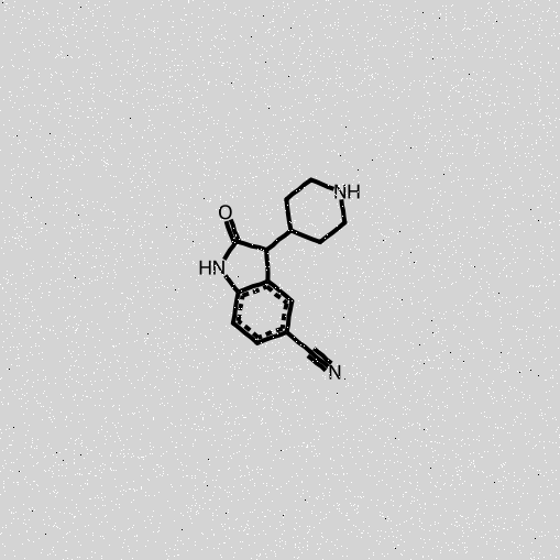 N#Cc1ccc2c(c1)C(C1CCNCC1)C(=O)N2